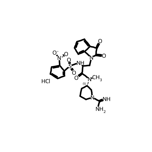 CN(C(=O)C(CN1C(=O)C(=O)c2ccccc21)NS(=O)(=O)c1ccccc1[N+](=O)[O-])[C@H]1CCCN(C(=N)N)C1.Cl